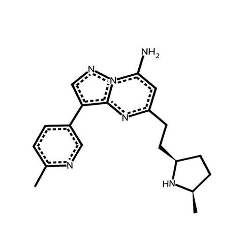 Cc1ccc(-c2cnn3c(N)cc(CC[C@H]4CC[C@@H](C)N4)nc23)cn1